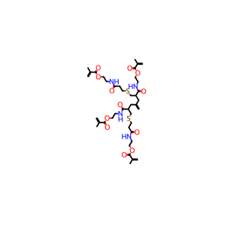 C=C(CC(CSCCC(=O)NCCOC(=O)C(=C)C)C(=O)NCCOC(=O)C(=C)C)CC(CSCCC(=O)NCCOC(=O)C(=C)C)C(=O)NCCOC(=O)C(=C)C